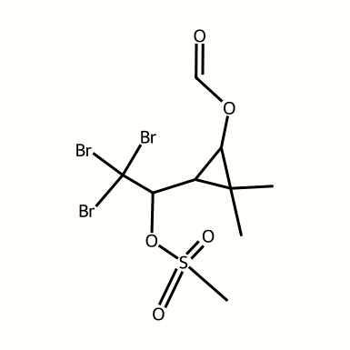 CC1(C)C(OC=O)C1C(OS(C)(=O)=O)C(Br)(Br)Br